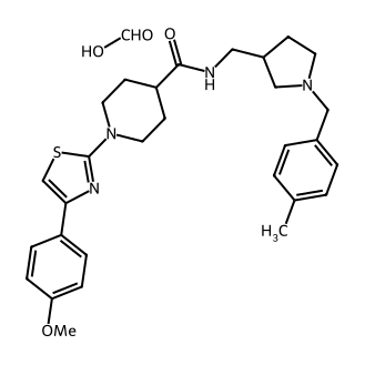 COc1ccc(-c2csc(N3CCC(C(=O)NCC4CCN(Cc5ccc(C)cc5)C4)CC3)n2)cc1.O=CO